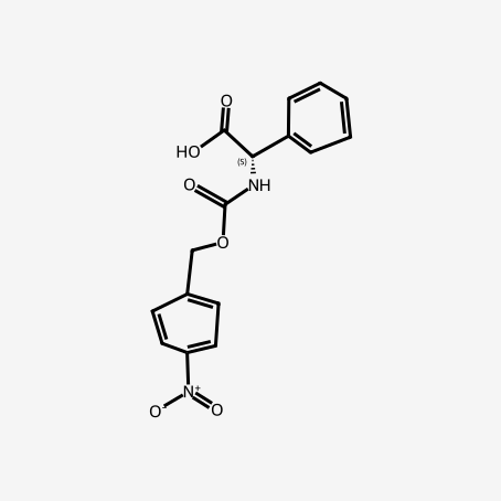 O=C(N[C@H](C(=O)O)c1ccccc1)OCc1ccc([N+](=O)[O-])cc1